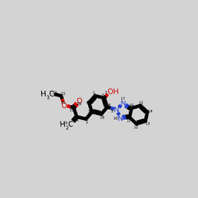 C=C(Cc1ccc(O)c(-n2nc3ccccc3n2)c1)C(=O)OCC